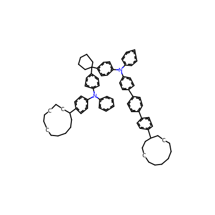 c1ccc(N(c2ccc(-c3ccc(-c4ccc(C5CCCCCCCCCCC5)cc4)cc3)cc2)c2ccc(C3(c4ccc(N(c5ccccc5)c5ccc(C6CCCCCCCCCCC6)cc5)cc4)CCCCC3)cc2)cc1